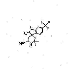 CN1C(=O)C2(CC(C#N)C(=O)C(C)(C)C2)c2ccc(C(F)(F)F)cc21